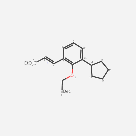 CCCCCCCCCCCOc1c(/C=C/C(=O)OCC)cccc1C1CCCC1